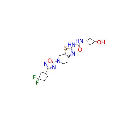 O=C(Nc1nc2c(s1)CN(c1nc(C3CCC(F)(F)C3)no1)CC2)N[C@H]1C[C@H](O)C1